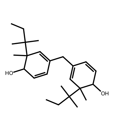 CCC(C)(C)C1(C)C=C(CC2=CC(C)(C(C)(C)CC)C(O)C=C2)C=CC1O